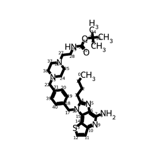 CCCCc1nc2c(N)nc3ccsc3c2n1Cc1ccc(CN2CCN(CCNC(=O)OC(C)(C)C)CC2)cc1